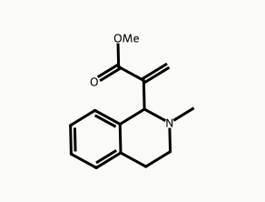 C=C(C(=O)OC)C1c2ccccc2CCN1C